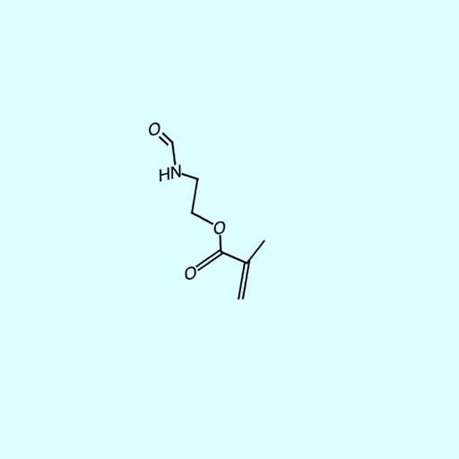 C=C(C)C(=O)OCCNC=O